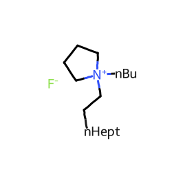 CCCCCCCCC[N+]1(CCCC)CCCC1.[F-]